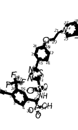 N#Cc1ccc(C(NS(=O)(=O)c2nnc(-c3ccc(OCC[n+]4ccccc4)cc3)s2)P(=O)([O-])O)cc1C(F)(F)F